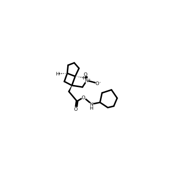 O=C(C[C@@]1(C[N+](=O)[O-])C[C@H]2CCC[C@H]21)ONC1CCCCC1